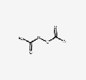 CC(=O)C(=O)OOC(=O)C(C)=O